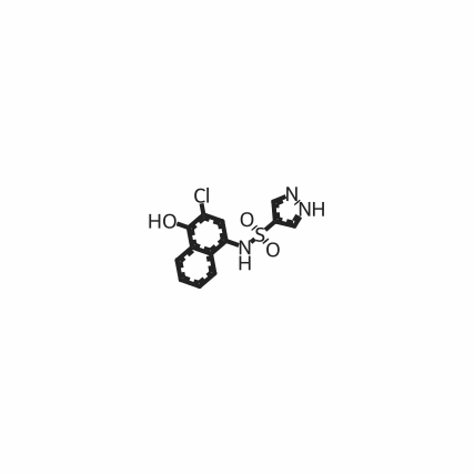 O=S(=O)(Nc1cc(Cl)c(O)c2ccccc12)c1cn[nH]c1